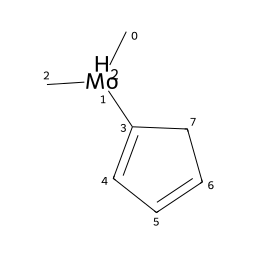 [CH3][MoH2]([CH3])[C]1=CC=CC1